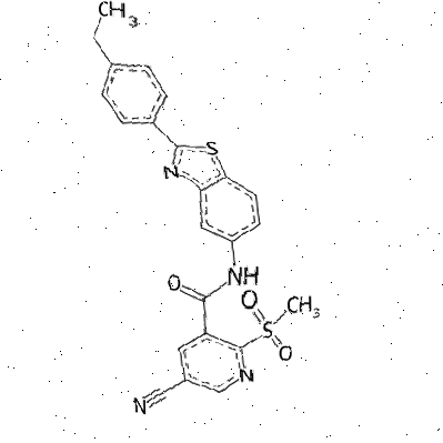 CCc1ccc(-c2nc3cc(NC(=O)c4cc(C#N)cnc4S(C)(=O)=O)ccc3s2)cc1